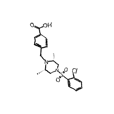 C[C@@H]1CN(S(=O)(=O)c2ccccc2Cl)C[C@H](C)N1Cc1ccc(C(=O)O)cc1